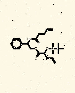 C=CCCC(=O)NC(COC(=O)C(CC=C)O[Si](C)(C)C(C)(C)C)c1ccccc1